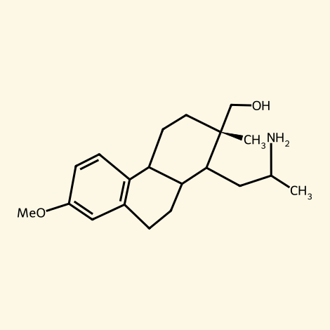 COc1ccc2c(c1)CCC1C2CC[C@](C)(CO)C1CC(C)N